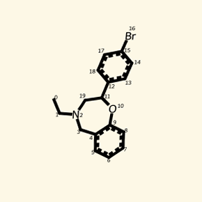 CCN1Cc2ccccc2OC(c2ccc(Br)cc2)C1